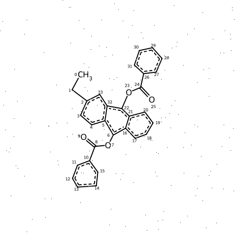 CCc1ccc2c(OC(=O)c3ccccc3)c3ccccc3c(OC(=O)c3ccccc3)c2c1